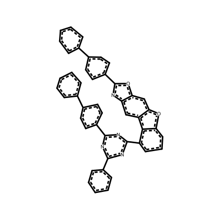 c1ccc(-c2ccc(-c3nc(-c4ccccc4)nc(-c4cccc5oc6cc7oc(-c8ccc(-c9ccccc9)cc8)nc7cc6c45)n3)cc2)cc1